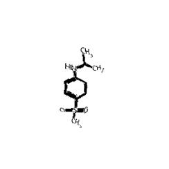 CC(C)Nc1ccc(S(C)(=O)=O)cc1